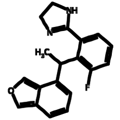 CC(c1c(F)cccc1C1=NCCN1)c1cccc2cocc12